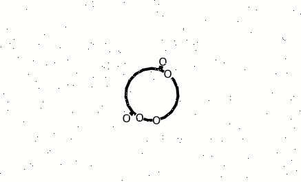 O=C1CCCCCCCC(=O)OCOCCCCCCO1